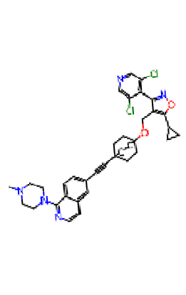 CN1CCN(c2nccc3cc(C#CC45CCC(OCc6c(-c7c(Cl)cncc7Cl)noc6C6CC6)(CC4)CC5)ccc23)CC1